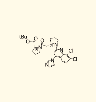 CC(C)(C)OC(=O)[C@H]1CCCN1C(=O)C[C@@H]1CCCN1c1cc(-n2ccnc2)c2ccc(Cl)c(Cl)c2n1